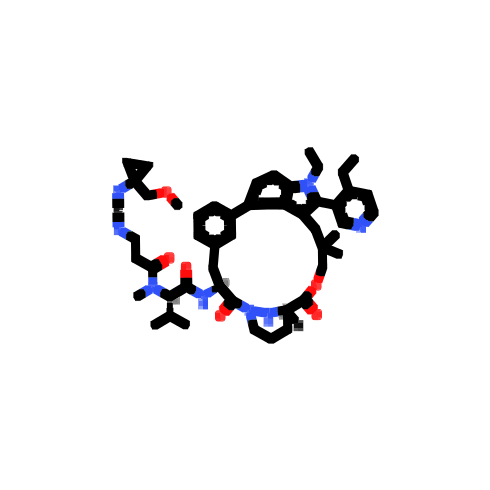 CCc1ccncc1-c1c2c3cc(ccc3n1CC)-c1cccc(c1)C[C@H](NC(=O)[C@H](C(C)C)N(C)C(=O)CCN=C=NC1(COC)CC1)C(=O)N1CCC[C@H](N1)C(=O)OCC(C)(C)C2